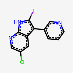 Clc1cnc2[nH]c(I)c(-c3cccnc3)c2c1